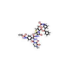 CCN1CCN(C(=O)N[C@H](C(=O)N[C@@H]2C(=O)N3C(C(=O)OC(c4ccccc4)c4ccccc4)=C(COC(N)=O)CS[C@H]23)c2ccc(NC(=O)OC(C)(C)C)cc2)C(=O)C1=O